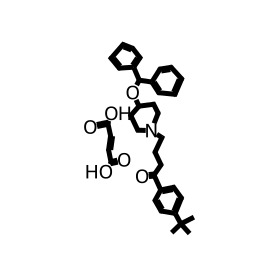 CC(C)(C)c1ccc(C(=O)CCCN2CCC(OC(c3ccccc3)c3ccccc3)CC2)cc1.O=C(O)/C=C/C(=O)O